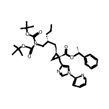 CCC[C@H](C[C@@H]1C[C@@]1(C(=O)O[C@H](C)c1ccccc1)c1cn(-c2ccccn2)cn1)CN(C(=O)OC(C)(C)C)C(=O)OC(C)(C)C